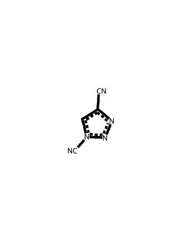 N#Cc1cn(C#N)nn1